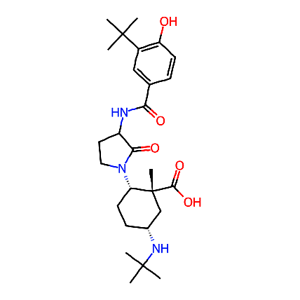 CC(C)(C)N[C@@H]1CC[C@H](N2CCC(NC(=O)c3ccc(O)c(C(C)(C)C)c3)C2=O)[C@](C)(C(=O)O)C1